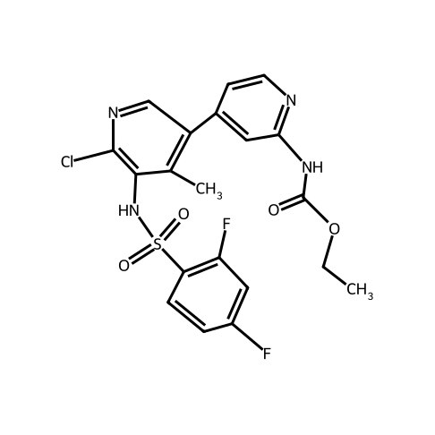 CCOC(=O)Nc1cc(-c2cnc(Cl)c(NS(=O)(=O)c3ccc(F)cc3F)c2C)ccn1